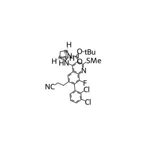 CSc1nc2c(F)c(-c3cccc(Cl)c3Cl)c(CCC#N)cc2c(N[C@H]2[C@@H]3C[C@H]2N(C(=O)OC(C)(C)C)C3)c1I